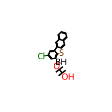 CC(C)(O)C(C)(C)OBc1cc(Cl)cc2c1sc1cc3ccccc3cc12